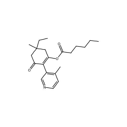 CCCCCC(=O)OC1=C(c2cnccc2C)C(=O)CC(C)(CC)C1